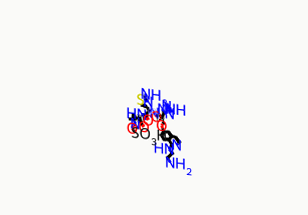 CC1(C)[C@H](NC(=O)/C(=N\O[C@H](COc2ccc3c(NCCN)nccc3c2)c2nn[nH]n2)c2csc(N)n2)C(=O)N1OS(=O)(=O)O